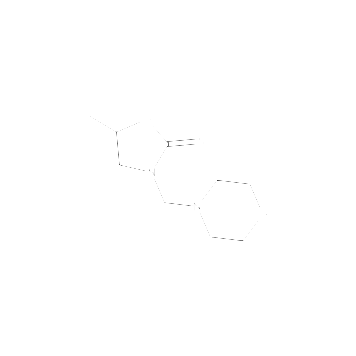 CC1CN(CN2CCOCC2)C(=S)O1